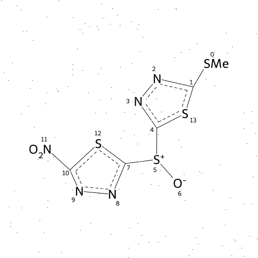 CSc1nnc([S+]([O-])c2nnc([N+](=O)[O-])s2)s1